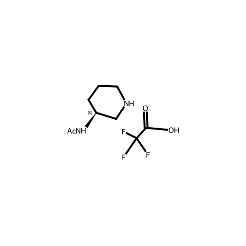 CC(=O)N[C@H]1CCCNC1.O=C(O)C(F)(F)F